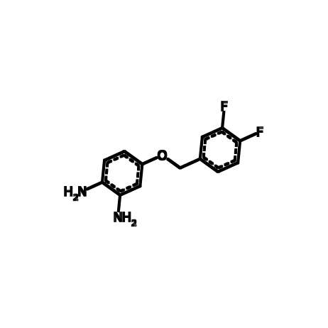 Nc1ccc(OCc2ccc(F)c(F)c2)cc1N